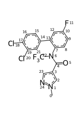 Cn1cc(C(=O)N(c2ccc(F)cc2-c2ccc(Cl)c(Cl)c2)C(F)(F)F)cn1